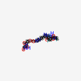 O=C1CCC(N2Cc3cc(OCCOCCN4CCN(c5ccc(-c6cnc7[nH]cc(C(=O)c8c(F)ccc(NS(=O)(=O)N9CC[C@@H](F)C9)c8F)c7c6)cc5)CC4)ccc3C2=O)C(=O)N1